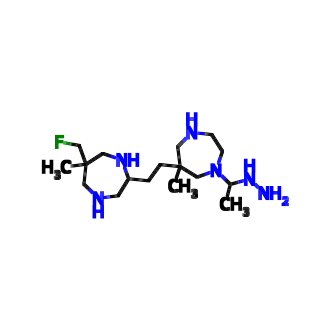 CC(NN)N1CCNCC(C)(CCC2CNCC(C)(CF)CN2)C1